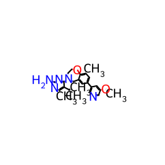 COc1cncc(-c2cc(C)c3c(c2)CN(c2nc(N)nc(C)c2C(C)C)CCO3)c1